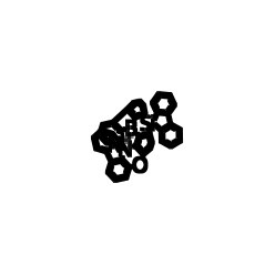 c1ccc2c(c1)-c1ccccc1[Si]21c2cccc3c2B2c4c1ccc1c4[N+]4(c5c(cccc5-c5cccc[n+]54)O1)[n+]1cccc-3c12